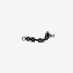 OC1(C(F)(F)F)CCN(CCOc2ccc(C#Cc3ccc(-c4ccc(Cl)cc4)cn3)cc2)CC1